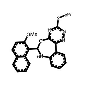 CCCSc1nnc2c(n1)OC(c1c(OC)ccc3ccccc13)Nc1ccccc1-2